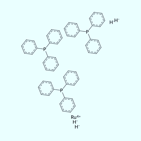 [H-].[H-].[H-].[H-].[Ru+4].c1ccc(P(c2ccccc2)c2ccccc2)cc1.c1ccc(P(c2ccccc2)c2ccccc2)cc1.c1ccc(P(c2ccccc2)c2ccccc2)cc1